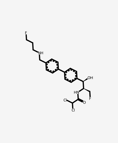 O=C(N[C@H](CF)[C@H](O)c1ccc(-c2ccc(CNCCCF)cc2)cc1)C(Cl)Cl